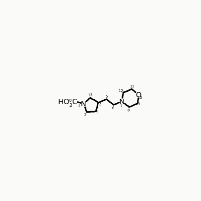 O=C(O)N1CCC(CCN2CCOCC2)C1